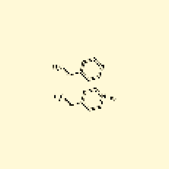 C=Cc1ccncc1.C=Cc1ccncc1.[Fe]